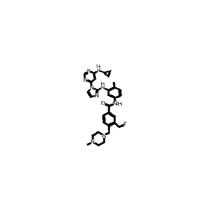 Cc1ccc(NC(=O)c2ccc(CN3CCN(C)CC3)c(CF)c2)cc1Nc1nccn1-c1cc(NC2CC2)ncn1